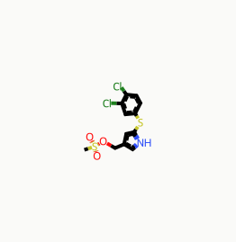 CS(=O)(=O)OCc1c[nH]c(Sc2ccc(Cl)c(Cl)c2)c1